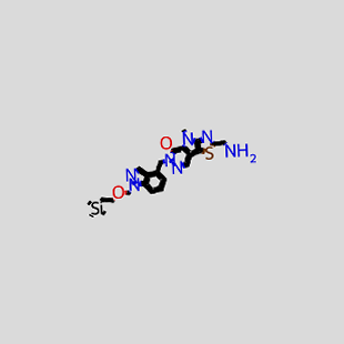 Cn1c2nc(CN)sc2c2cnn(Cc3cccc4c3cnn4COCC[Si](C)(C)C)c(=O)c21